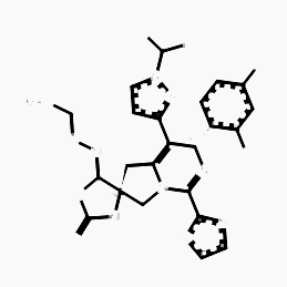 COCONC1OC(=O)N[C@]12CC1=C(c3ccn(C(F)F)n3)[C@H](c3ccc(F)cc3Cl)N=C(c3nccs3)N1C2